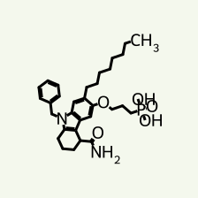 CCCCCCCCc1cc2c(cc1OCCCP(=O)(O)O)c1c(n2Cc2ccccc2)CCCC1C(N)=O